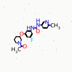 CC(=O)N1CCCC(Oc2cc(F)cc(NC(=O)Nc3ccc(C)nc3)c2)C1